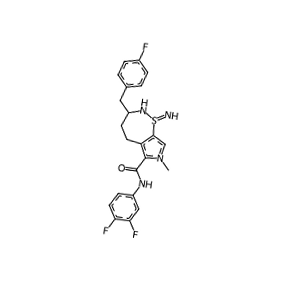 Cn1cc2c(c1C(=O)Nc1ccc(F)c(F)c1)CCC(Cc1ccc(F)cc1)NS2=N